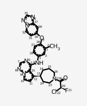 Cc1cc(Nc2ncnn3ccc([C@H]4CCCN(C(=O)[C@@H](F)Cl)CC4)c23)ccc1Oc1ccn2ncnc2c1